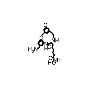 COc1cc2cc(c1)COc1ccc(CN)cc1NC(=O)C(CCCCCC(=O)NO)NCCC2